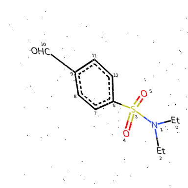 CCN(CC)S(=O)(=O)c1ccc([C]=O)cc1